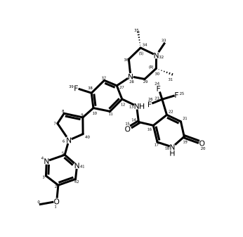 COc1cnc(N2CC=C(c3cc(NC(=O)c4c[nH]c(=O)cc4C(F)(F)F)c(N4C[C@@H](C)N(C)[C@@H](C)C4)cc3F)C2)nc1